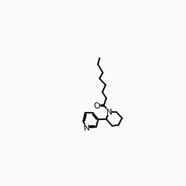 CCCCCCCC(=O)N1CCCCC1c1cccnc1